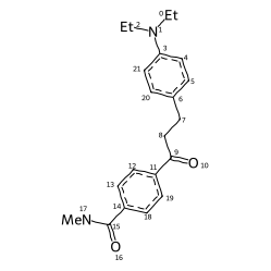 CCN(CC)c1ccc(CCC(=O)c2ccc(C(=O)NC)cc2)cc1